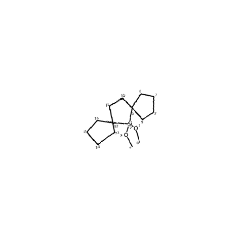 CO[Si]1(OC)C2(CCCC2)CCC12CCCC2